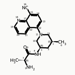 C[C@H]1C[C@@H](NC(=O)[C@@H](C)N)CN(c2ccc(C#N)c3ncccc23)C1